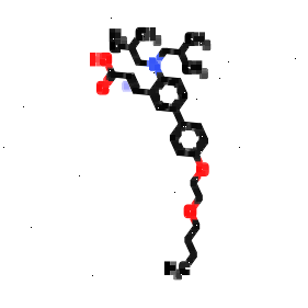 CCCCOCCOc1ccc(-c2ccc(N(CC(C)C)CC(C)C)c(/C=C/C(=O)O)c2)cc1